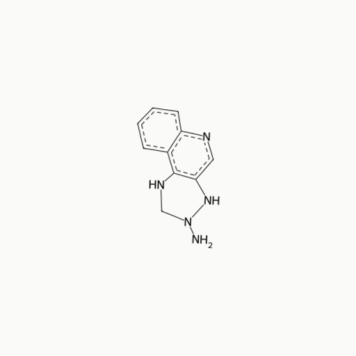 NN1CNc2c(cnc3ccccc23)N1